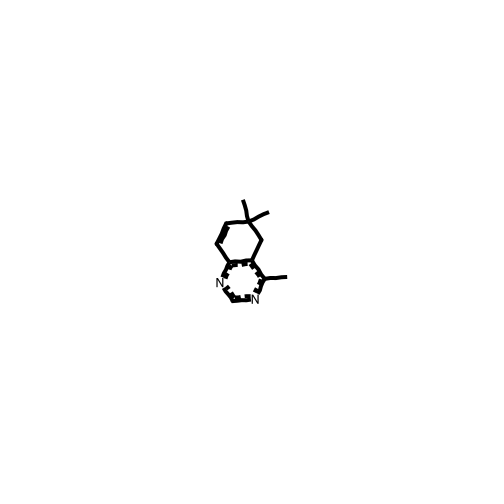 Cc1ncnc2c1CC(C)(C)C=C2